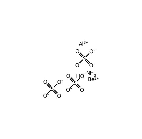 N.O=S(=O)([O-])O.O=S(=O)([O-])[O-].O=S(=O)([O-])[O-].[Al+3].[Be+2]